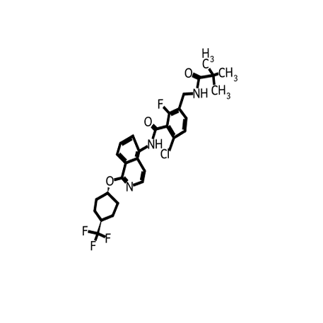 CC(C)(C)C(=O)NCc1ccc(Cl)c(C(=O)Nc2cccc3c(O[C@H]4CC[C@H](C(F)(F)F)CC4)nccc23)c1F